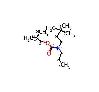 CCCN(CCC(C)(C)C)C(=O)OCC(C)C